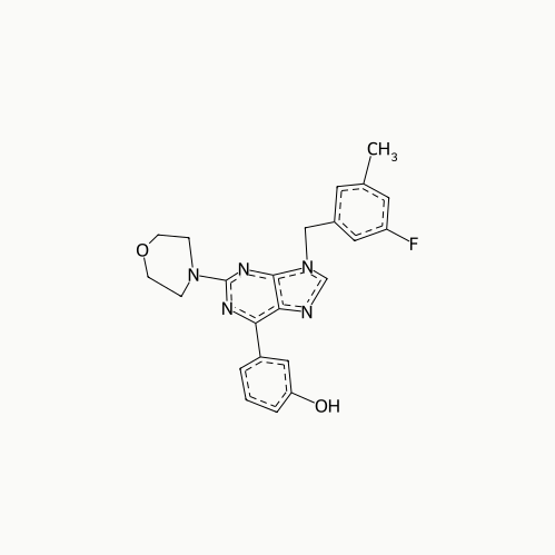 Cc1cc(F)cc(Cn2cnc3c(-c4cccc(O)c4)nc(N4CCOCC4)nc32)c1